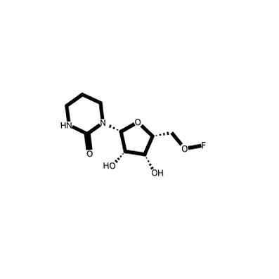 O=C1NCCCN1[C@@H]1O[C@H](COF)[C@H](O)[C@@H]1O